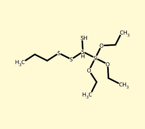 CCCSS[SH](S)[Si](OCC)(OCC)OCC